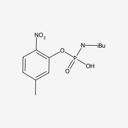 CCC(C)[N]P(=O)(O)Oc1cc(C)ccc1[N+](=O)[O-]